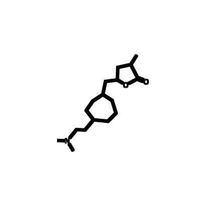 CC1CC(CC2CCCC(CCN(C)C)CC2)OC1=O